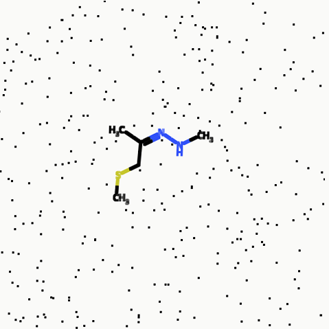 CNN=C(C)CSC